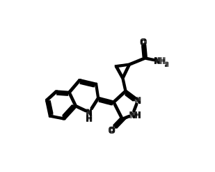 NC(=O)C1CC1C1=NNC(=O)C1=C1C=Cc2ccccc2N1